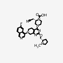 CN1CCC[C@H]1COc1nc2c(c(N3CCN(C(=O)O)[C@@H](CC#N)C3)n1)CCN(c1cncc3ccc(F)cc13)C2